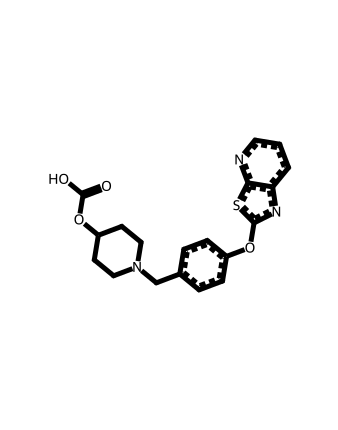 O=C(O)OC1CCN(Cc2ccc(Oc3nc4cccnc4s3)cc2)CC1